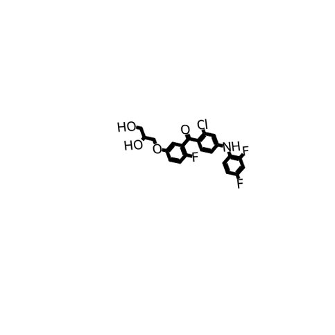 O=C(c1cc(OCC(O)CO)ccc1F)c1ccc(Nc2ccc(F)cc2F)cc1Cl